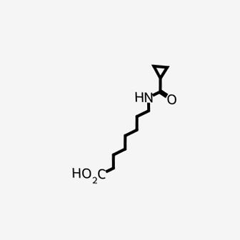 O=C(O)CCCCCCCNC(=O)C1CC1